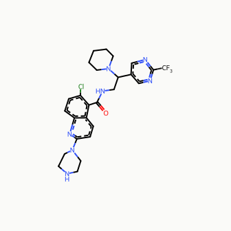 O=C(NCC(c1cnc(C(F)(F)F)nc1)N1CCCCC1)c1c(Cl)ccc2nc(N3CCNCC3)ccc12